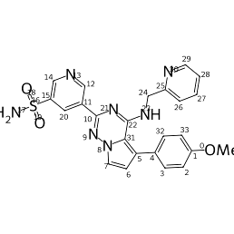 COc1ccc(-c2ccn3nc(-c4cncc(S(N)(=O)=O)c4)nc(NCc4ccccn4)c23)cc1